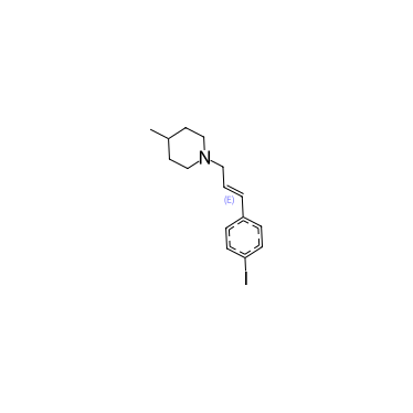 CC1CCN(C/C=C/c2ccc(I)cc2)CC1